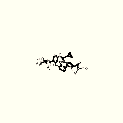 BC(B)(B)NC(=O)c1cnc(NC(=O)C2CC2)cc1Nc1cccc(-c2ncc(C(=O)N(C)C)s2)c1OC